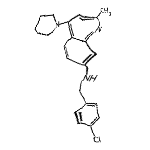 Cc1cc(N2CCCC2)c2ccc(NCc3ccc(Cl)cc3)cc2n1